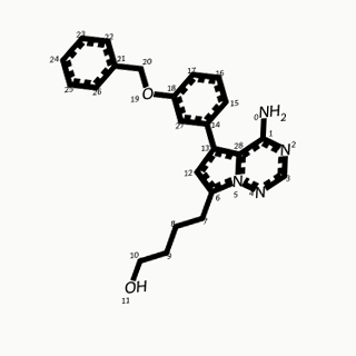 Nc1ncnn2c(CCCCO)cc(-c3cccc(OCc4ccccc4)c3)c12